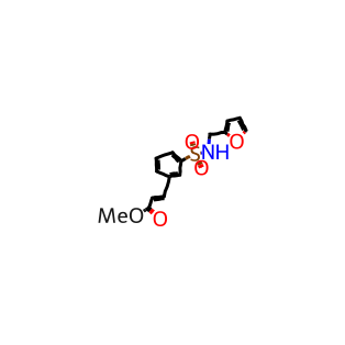 COC(=O)C=Cc1cccc(S(=O)(=O)NCc2ccco2)c1